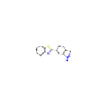 c1ccc2sc(-c3ccc4cn[nH]c4c3)nc2c1